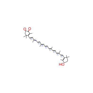 CC1=C(/C=C/C(C)=C/C=C/C(C)=C/C=C/C=C(C)/C=C/C=C(C)/C=C/C2=C(C)C(O)CCC2(C)C)C(C)(C)CC(=O)C1=O